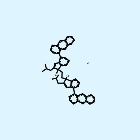 CC(C)CC1=Cc2c(-c3cccc4cc5ccccc5cc34)cccc2C1(Cl)CCC1(Cl)C(CC(C)C)=Cc2c(-c3cccc4cc5ccccc5cc34)cccc21.[Zr]